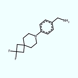 NCc1ccc(N2CCC3(CC2)CC(F)(F)C3)cc1